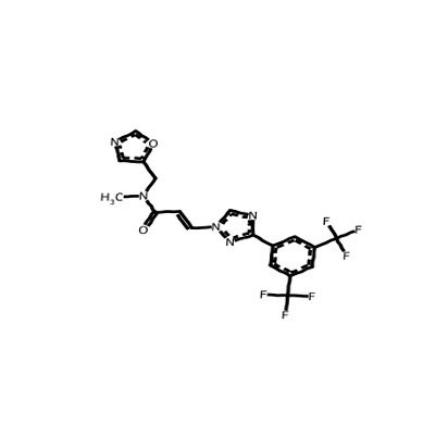 CN(Cc1cnco1)C(=O)C=Cn1cnc(-c2cc(C(F)(F)F)cc(C(F)(F)F)c2)n1